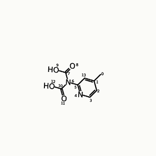 Cc1ccnc(N(C(=O)O)C(=O)O)c1